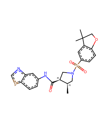 C[C@@H]1CN(S(=O)(=O)c2ccc3c(c2)C(C)(C)CO3)C[C@@H]1C(=O)Nc1ccc2scnc2c1